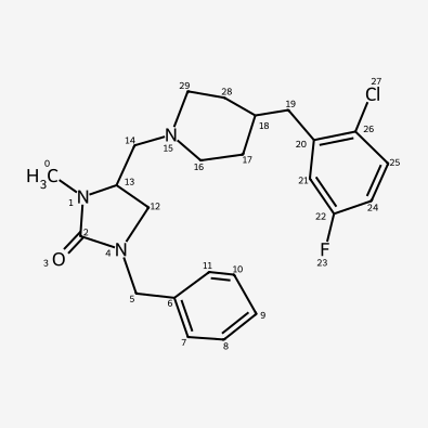 CN1C(=O)N(Cc2ccccc2)CC1CN1CCC(Cc2cc(F)ccc2Cl)CC1